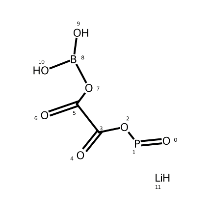 O=POC(=O)C(=O)OB(O)O.[LiH]